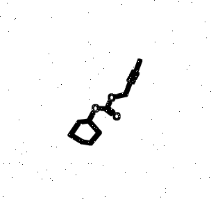 CC#CCOC(=O)OC1CCCCC1